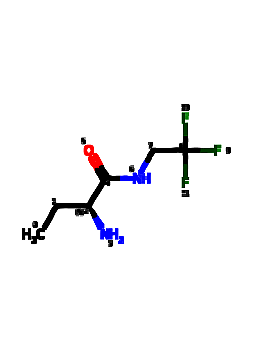 CC[C@H](N)C(=O)NCC(F)(F)F